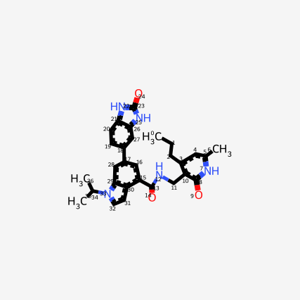 CCCc1cc(C)[nH]c(=O)c1CNC(=O)c1cc(-c2ccc3[nH]c(=O)[nH]c3c2)cc2c1ccn2C(C)C